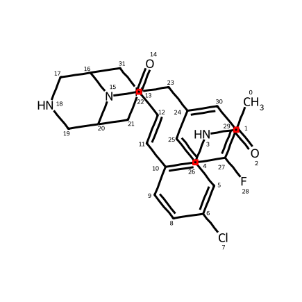 CC(=O)Nc1cc(Cl)ccc1/C=C/C(=O)N1C2CNCC1CN(Cc1ccc(F)cc1)C2